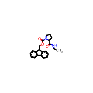 CCNC(=O)[C@@H]1CCCN1C(=O)OCC1c2ccccc2-c2ccccc21